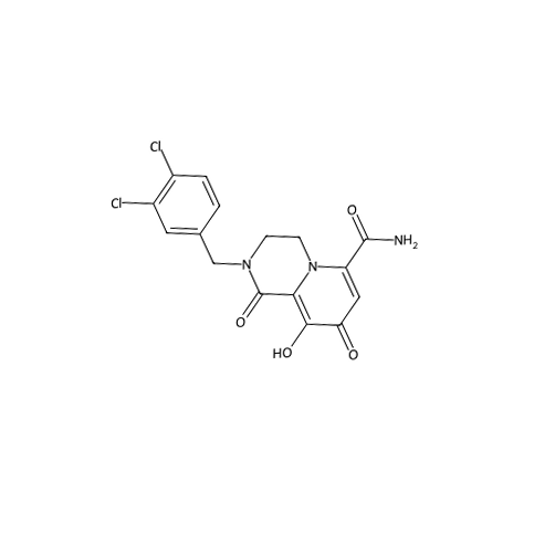 NC(=O)c1cc(=O)c(O)c2n1CCN(Cc1ccc(Cl)c(Cl)c1)C2=O